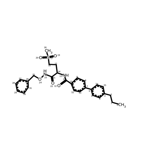 CCCc1ccc(-c2ccc(C(=O)NC(CCS(C)(=O)=O)C(=O)NOCc3ccccc3)cc2)cc1